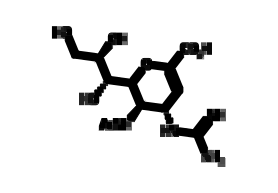 CC(=O)N[C@H]1C([C@H](O)[C@H](O)CO)OC(C(=O)O)=C[C@@H]1NC(=N)N